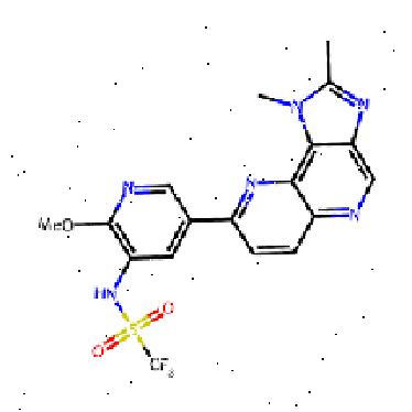 COc1ncc(-c2ccc3ncc4nc(C)n(C)c4c3n2)cc1NS(=O)(=O)C(F)(F)F